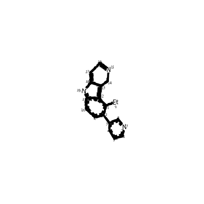 CCc1c(-c2cccnc2)ccc2c1=C1CN=CC=C1N=2